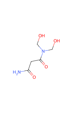 NC(=O)CC(=O)N(CO)CO